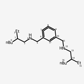 CCCCC(CC)CNCC1=C=C=CC(CNCC(CC)CCCC)=C1